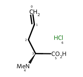 C=CC[C@H](NC)C(=O)O.Cl